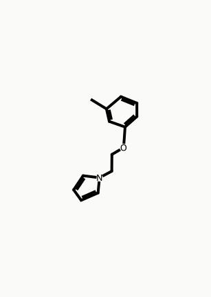 Cc1cccc(OCCn2cccc2)c1